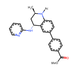 COC(=O)c1ccc(-c2ccc3c(c2)[C@H](Nc2ccccn2)C[C@@H](C)N3C(C)=O)cc1